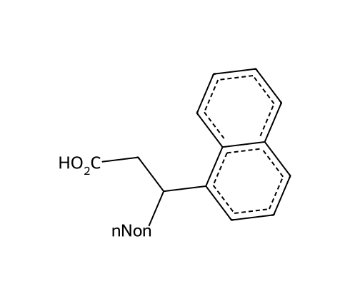 CCCCCCCCCC(CC(=O)O)c1cccc2ccccc12